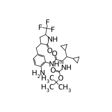 CC(C)(C)OC(=O)N[C@H](C(=O)Nc1cc(CC2CC(C(F)(F)F)NC2=O)ccc1N)C(C1CC1)C1CC1